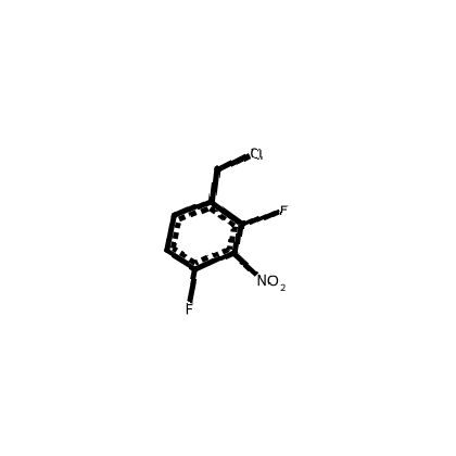 O=[N+]([O-])c1c(F)ccc(CCl)c1F